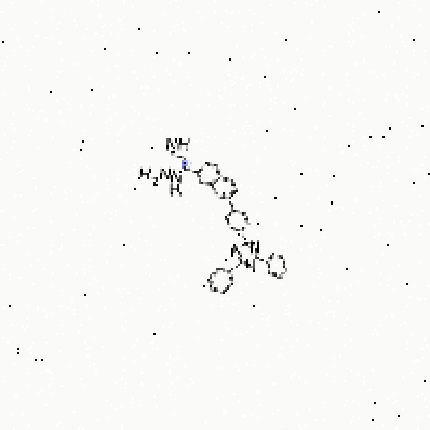 N=C/C=C(\NN)c1ccc2ccc(-c3ccc(-c4nc(-c5ccccc5)nc(-c5ccccc5)n4)cc3)cc2c1